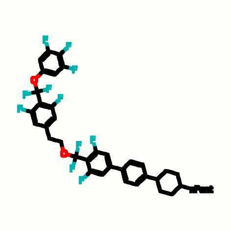 CCCCCC1CCC(c2ccc(-c3cc(F)c(C(F)(F)OCCc4cc(F)c(C(F)(F)Oc5cc(F)c(F)c(F)c5)c(F)c4)c(F)c3)cc2)CC1